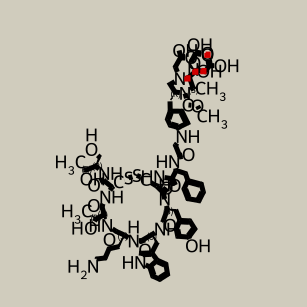 COON([C@H](Cc1ccc(NCC(=O)NC(Cc2ccccc2)C(=O)NC2CSSCC(C(=O)N[C@H](CO)[C@@H](C)O)NC(=O)[C@H]([C@@H](C)O)NC(=O)[C@H](CCCCN)NC(=O)[C@H](Cc3c[nH]c4ccccc34)NC(=O)[C@H](Cc3ccc(O)cc3)NC2=O)cc1)CN(CC(=O)O)CC(=O)O)[C@@H](C)CN(CC(=O)O)CC(=O)O